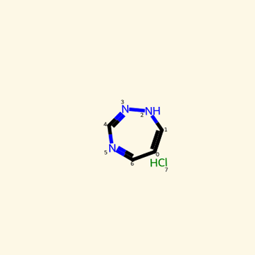 C1=CNN=CN=C1.Cl